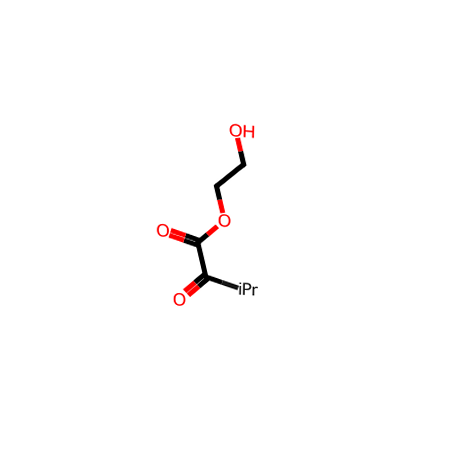 CC(C)C(=O)C(=O)OCCO